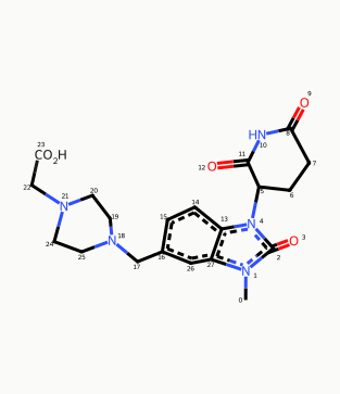 Cn1c(=O)n(C2CCC(=O)NC2=O)c2ccc(CN3CCN(CC(=O)O)CC3)cc21